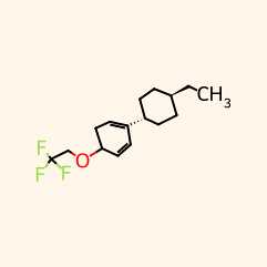 CC[C@H]1CC[C@H](C2=CCC(OCC(F)(F)F)C=C2)CC1